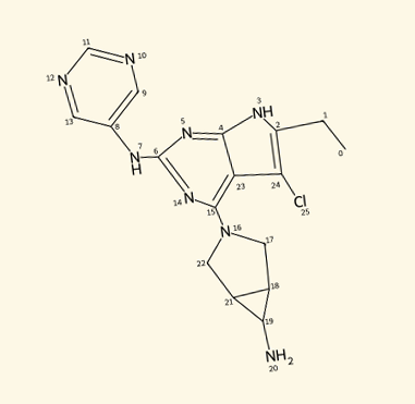 CCc1[nH]c2nc(Nc3cncnc3)nc(N3CC4C(N)C4C3)c2c1Cl